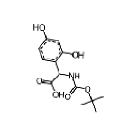 CC(C)(C)OC(=O)NC(C(=O)O)c1ccc(O)cc1O